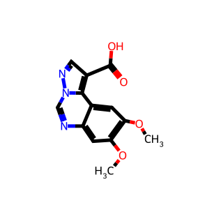 COc1cc2ncn3ncc(C(=O)O)c3c2cc1OC